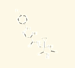 N=C(/C=N\Nc1ccc(Br)cc1)C(=O)NC[C@@]1(C2CC2)NC(=O)NC1=O